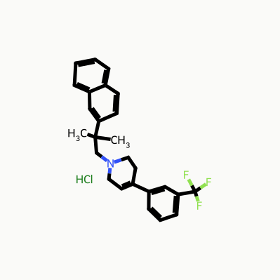 CC(C)(CN1CC=C(c2cccc(C(F)(F)F)c2)CC1)c1ccc2ccccc2c1.Cl